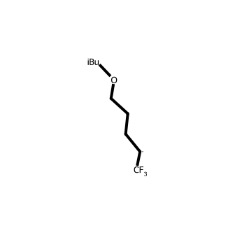 CCC(C)OCCC[CH]C(F)(F)F